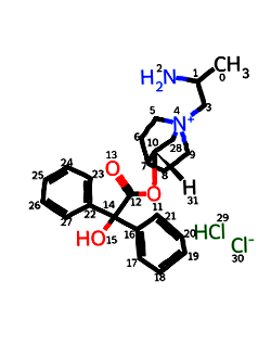 CC(N)C[N+]12CCC(CC1)[C@@H](OC(=O)C(O)(c1ccccc1)c1ccccc1)C2.Cl.[Cl-]